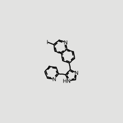 Ic1cnc2ccc(-c3nc[nH]c3-c3ccccn3)cc2c1